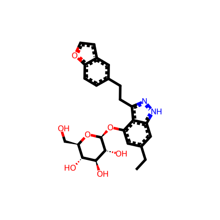 CCc1cc(O[C@@H]2O[C@H](CO)[C@@H](O)[C@H](O)[C@H]2O)c2c(CCc3ccc4occc4c3)n[nH]c2c1